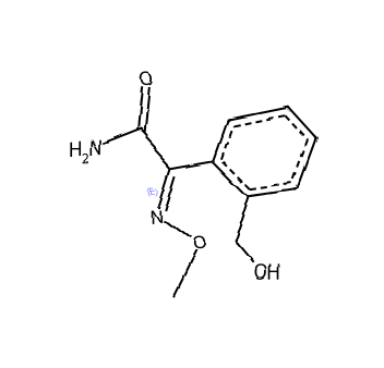 CO/N=C(/C(N)=O)c1ccccc1CO